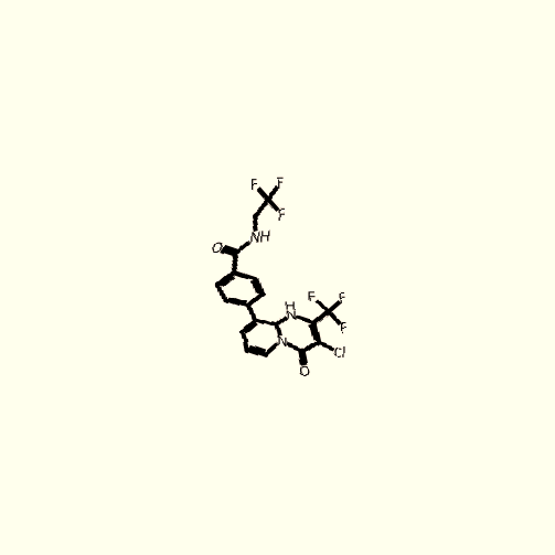 O=C(NCC(F)(F)F)c1ccc(C2=CC=CN3C(=O)C(Cl)=C(C(F)(F)F)NC23)cc1